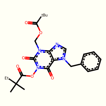 CCC(C)(C)C(=O)On1c(=O)c2c(ncn2Cc2ccccc2)n(COC(=O)C(C)(C)C)c1=O